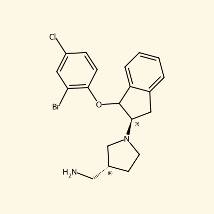 NC[C@H]1CCN([C@@H]2Cc3ccccc3C2Oc2ccc(Cl)cc2Br)C1